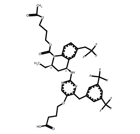 CC[C@@H]1C[C@H](Nc2ncc(OCCCC(=O)O)c(Cc3cc(C(F)(F)F)cc(C(F)(F)F)c3)n2)c2cc(CC(F)(F)F)ccc2N1C(=O)OCCCOC(C)=O